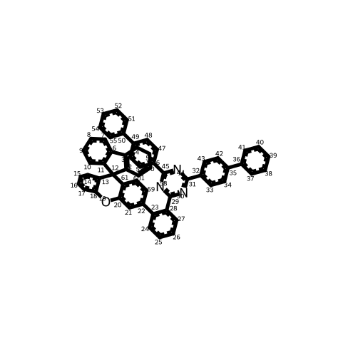 C1=CC2=C(CC1)c1ccccc1C21c2ccccc2Oc2cc(-c3ccccc3-c3nc(-c4ccc(-c5ccccc5)cc4)nc(-c4ccc(-c5ccccc5)cc4)n3)ccc21